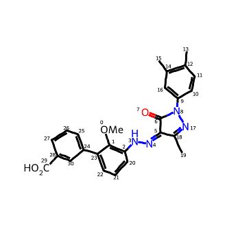 COc1c(NN=C2C(=O)N(c3ccc(C)c(C)c3)N=C2C)cccc1-c1cccc(C(=O)O)c1